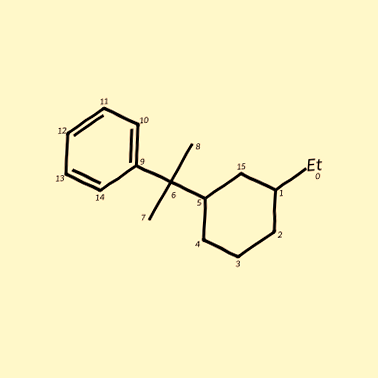 CCC1CCCC(C(C)(C)c2ccccc2)C1